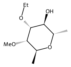 CCO[C@@H]1[C@@H](O)[C@H](C)O[C@@H](C)[C@@H]1OC